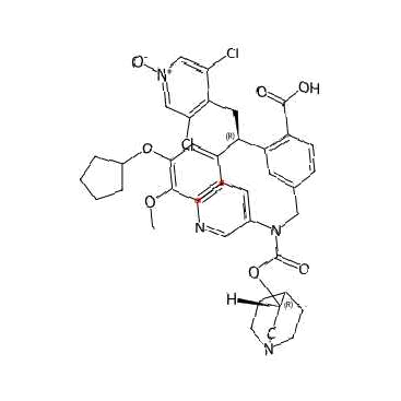 COc1ccc([C@@H](Cc2c(Cl)c[n+]([O-])cc2Cl)c2cc(CN(C(=O)O[C@H]3CN4CCC3CC4)c3cccnc3)ccc2C(=O)O)cc1OC1CCCC1